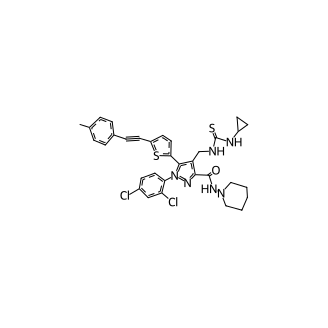 Cc1ccc(C#Cc2ccc(-c3c(CNC(=S)NC4CC4)c(C(=O)NN4CCCCC4)nn3-c3ccc(Cl)cc3Cl)s2)cc1